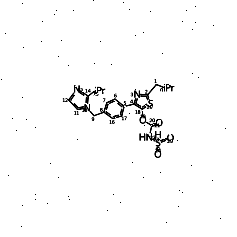 CC(C)Cc1nc(-c2ccc(Cn3ccnc3C(C)C)cc2)c(OC(=O)N[SH](=O)=O)s1